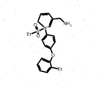 CCc1ccccc1Oc1ccc([N+]2(S(=O)(=O)CC)C=C(CN)C=CC2)cc1